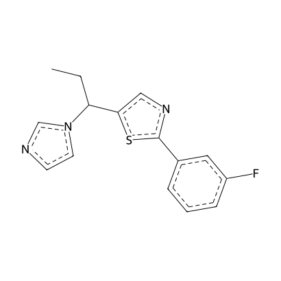 CCC(c1cnc(-c2cccc(F)c2)s1)n1ccnc1